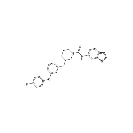 O=C(Nc1ccn2ccnc2c1)N1CCCC(Cc2cccc(Oc3ccc(F)cc3)c2)C1